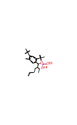 CCCCC(CC)C(OP(O)O)c1cc(C)c(C(C)(C)C)cc1C(C)(C)C